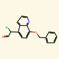 O=CC(Br)c1ccc(OCc2ccccc2)c2ncccc12